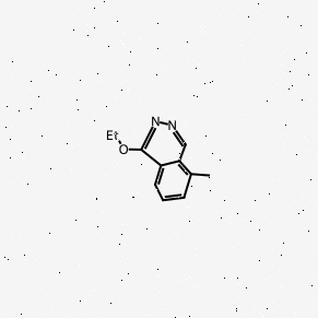 CCOc1nncc2c(C)cccc12